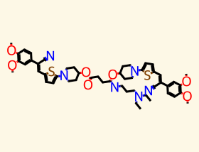 CCN(CC)CCCN=C(CCC(=O)OC1CCN(c2ccc(C=C(C#N)c3ccc(OC)c(OC)c3)s2)CC1)OC1CCN(c2ccc(C=C(C#N)c3ccc(OC)c(OC)c3)s2)CC1